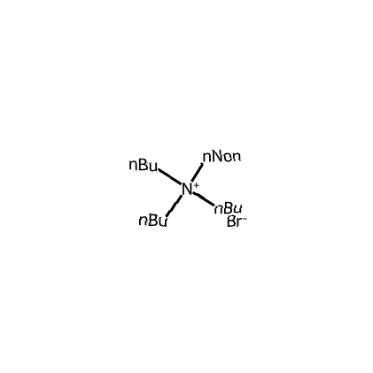 CCCCCCCCC[N+](CCCC)(CCCC)CCCC.[Br-]